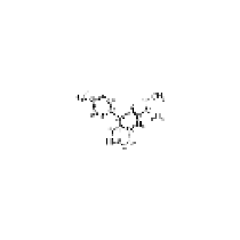 CCC(C)c1nc2c(c(-c3ccc(C)cc3)n1)CNCC2